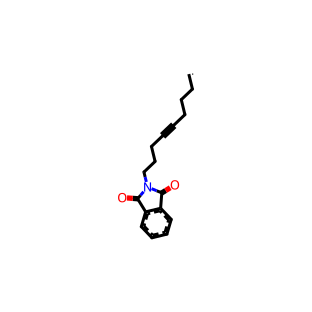 [CH2]CCCC#CCCCN1C(=O)c2ccccc2C1=O